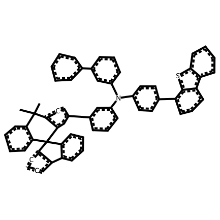 CC1(C)c2ccccc2C2(c3ccccc3-c3ccccc32)c2cc(-c3cccc(N(c4ccc(-c5cccc6c5sc5ccccc56)cc4)c4cccc(-c5ccccc5)c4)c3)ccc21